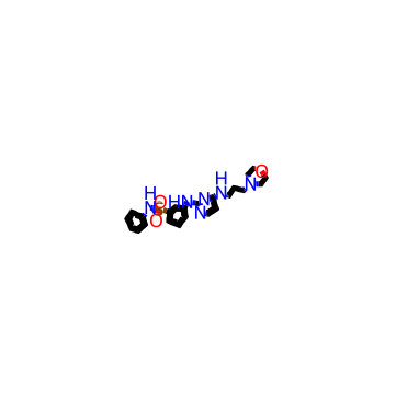 O=S(=O)(Nc1ccccc1)c1cccc(Nc2nccc(NCCCN3CCOCC3)n2)c1